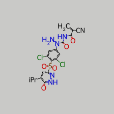 C=C(C#N)C(=O)NC(=O)N(N)c1cc(Cl)c(S(=O)(=O)c2cc(C(C)C)c(=O)[nH]n2)c(Cl)c1